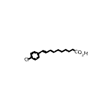 O=C(O)CCCCCCC/C=C/c1ccc(Cl)cc1